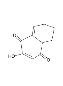 O=C1C(O)=CC(=O)C2CCCC=C12